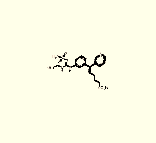 CC(C)(C)CNC(=NS(N)(=O)=O)Nc1cccc(C(=CCCCC(=O)O)c2cccnc2)c1